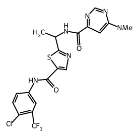 CNc1cc(C(=O)NC(C)c2ncc(C(=O)Nc3ccc(Cl)c(C(F)(F)F)c3)s2)ncn1